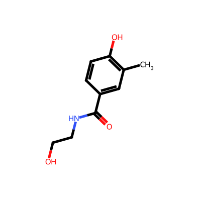 Cc1cc(C(=O)NCCO)ccc1O